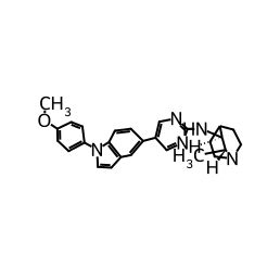 COc1ccc(-n2ccc3cc(-c4cnc(N[C@H]5C6CCN(CC6)[C@@H]5C)nc4)ccc32)cc1